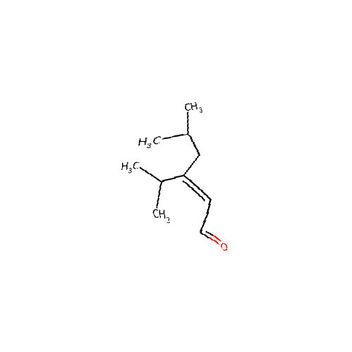 CC(C)C/C(=C/C=O)C(C)C